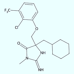 CN1C(=N)NC(COc2cccc(C(F)(F)F)c2Cl)(CC2CCCCC2)C1=O